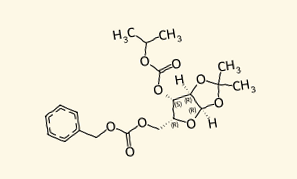 CC(C)OC(=O)O[C@@H]1[C@H]2OC(C)(C)O[C@H]2O[C@@H]1COC(=O)OCc1ccccc1